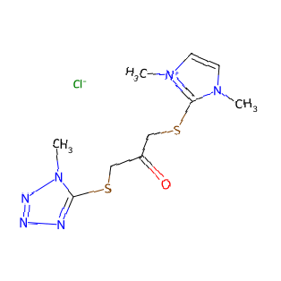 Cn1cc[n+](C)c1SCC(=O)CSc1nnnn1C.[Cl-]